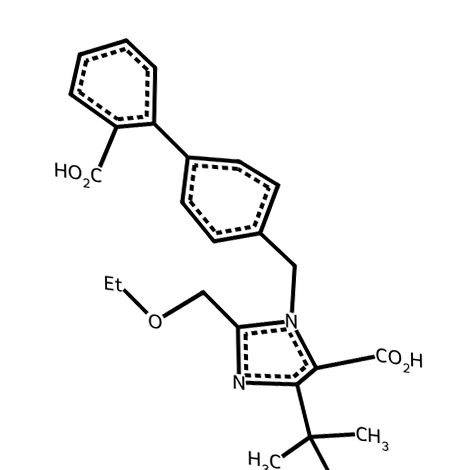 CCOCc1nc(C(C)(C)O)c(C(=O)O)n1Cc1ccc(-c2ccccc2C(=O)O)cc1